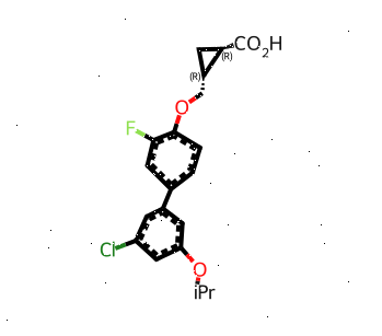 CC(C)Oc1cc(Cl)cc(-c2ccc(OC[C@@H]3C[C@H]3C(=O)O)c(F)c2)c1